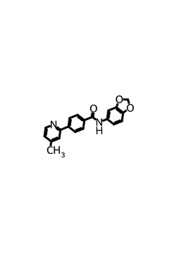 Cc1ccnc(-c2ccc(C(=O)Nc3ccc4c(c3)OCO4)cc2)c1